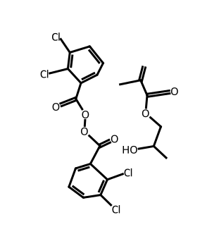 C=C(C)C(=O)OCC(C)O.O=C(OOC(=O)c1cccc(Cl)c1Cl)c1cccc(Cl)c1Cl